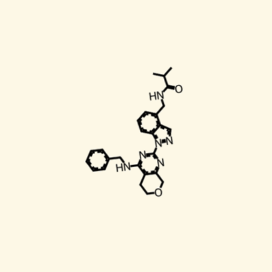 CC(C)C(=O)NCc1cccc2c1cnn2-c1nc2c(c(NCc3ccccc3)n1)CCOC2